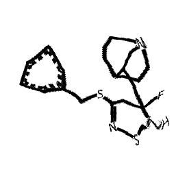 FC1(C2CN3CCC2CC3)NSN=C1SCc1ccccc1